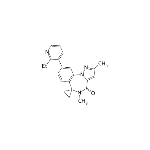 CCc1ncccc1-c1ccc2c(c1)-n1nc(C)cc1C(=O)N(C)C21CC1